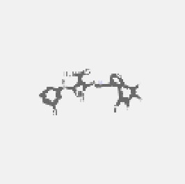 NC(=O)c1c(Nc2cccc(Cl)c2)n[nH]c1/N=C/c1c[nH]c2c(F)c(F)c(F)c(F)c12